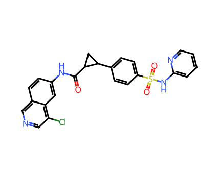 O=C(Nc1ccc2cncc(Cl)c2c1)C1CC1c1ccc(S(=O)(=O)Nc2ccccn2)cc1